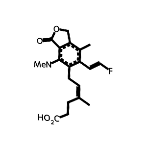 CNc1c(CC=C(C)CCC(=O)O)c(C=CF)c(C)c2c1C(=O)OC2